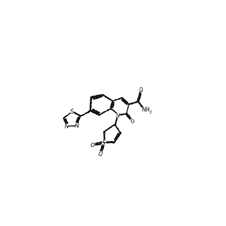 NC(=O)c1cc2ccc(-c3nncs3)cc2n(C2C=CS(=O)(=O)C2)c1=O